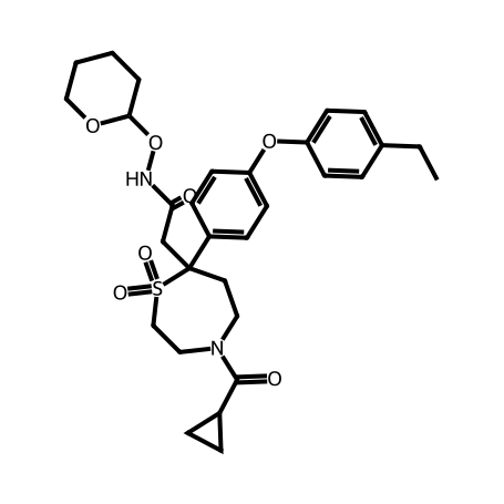 CCc1ccc(Oc2ccc(C3(CC(=O)NOC4CCCCO4)CCN(C(=O)C4CC4)CCS3(=O)=O)cc2)cc1